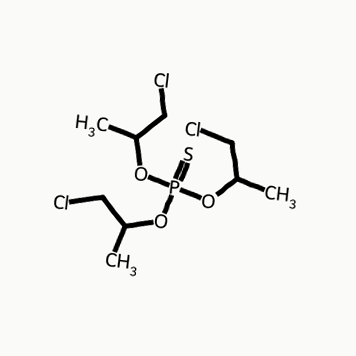 CC(CCl)OP(=S)(OC(C)CCl)OC(C)CCl